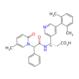 Cc1ccc(=O)n(C(C(=O)N[C@@H](CC(=O)O)c2cncc(-c3c(C)cccc3C)c2)c2ccccc2)c1